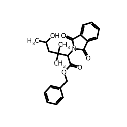 CC(O)CC(C)(C)C(C(=O)OCc1ccccc1)N1C(=O)c2ccccc2C1=O